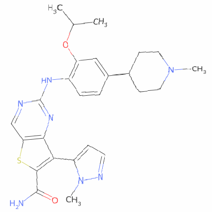 CC(C)Oc1cc(C2CCN(C)CC2)ccc1Nc1ncc2sc(C(N)=O)c(-c3ccnn3C)c2n1